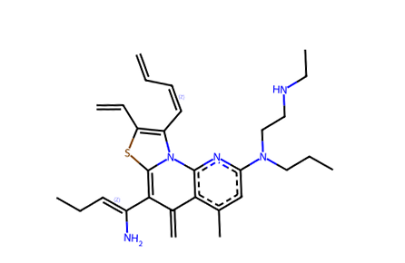 C=C/C=C\C1=C(C=C)SC2=C(/C(N)=C/CC)C(=C)c3c(C)cc(N(CCC)CCNCC)nc3N12